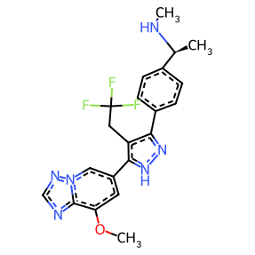 CN[C@@H](C)c1ccc(-c2n[nH]c(-c3cc(OC)c4ncnn4c3)c2CC(F)(F)F)cc1